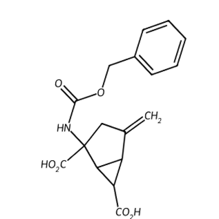 C=C1CC(NC(=O)OCc2ccccc2)(C(=O)O)C2C1C2C(=O)O